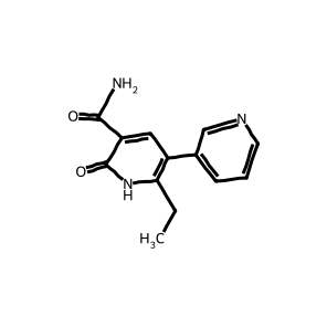 CCc1[nH]c(=O)c(C(N)=O)cc1-c1cccnc1